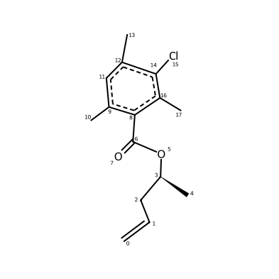 C=CC[C@H](C)OC(=O)c1c(C)cc(C)c(Cl)c1C